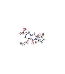 COC1=C2C(=O)N3C(CN2C=C(C(=O)O)C1)O[C@H]1CC[C@@H]3C1